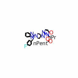 CCCCCC(=O)OC(C(C)C)n1c(N(C)C2CCN(c3nc4ccccc4n3Cc3ccc(F)cc3)CC2)nccc1=O